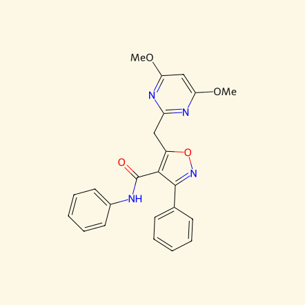 COc1cc(OC)nc(Cc2onc(-c3ccccc3)c2C(=O)Nc2ccccc2)n1